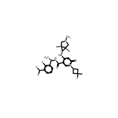 C[C@@H](NC(=O)c1cn(C2CC(F)(F)C2)c(=O)cc1N[C@H]1[C@@H]2CN(C)C[C@@H]21)c1cccc(C(F)F)c1F